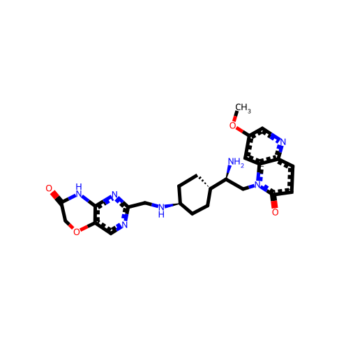 COc1cnc2ccc(=O)n(C[C@H](N)[C@H]3CC[C@H](NCc4ncc5c(n4)NC(=O)CO5)CC3)c2c1